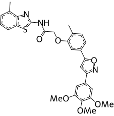 COc1cc(-c2cc(-c3ccc(C)c(OCC(=O)Nc4nc5c(C)cccc5s4)c3)on2)cc(OC)c1OC